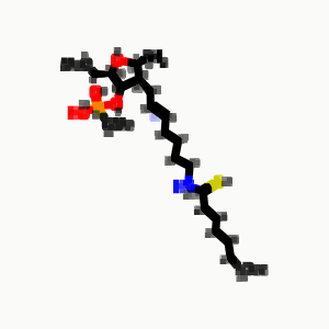 B[C@@H]1O[C@H](COC)C(OP(=O)(O)OC)[C@@H]1C/C=C/CCCCNC(=S)CCCCCCCCCCCCCCC